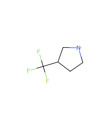 FC(F)(F)C1CC[N]C1